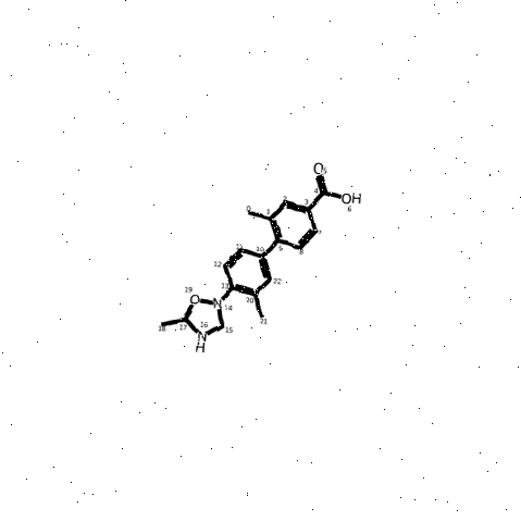 Cc1cc(C(=O)O)ccc1-c1ccc(N2CNC(C)O2)c(C)c1